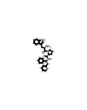 N[C@@H](Cc1c[nH]c2ccccc12)C(=O)N1CCC[C@H]1C(=O)N[C@@H](Cc1ccccn1)c1ccccc1